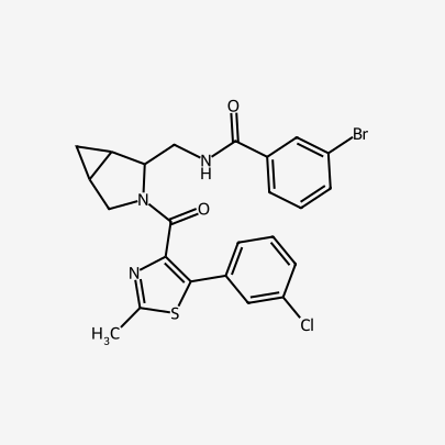 Cc1nc(C(=O)N2CC3CC3C2CNC(=O)c2cccc(Br)c2)c(-c2cccc(Cl)c2)s1